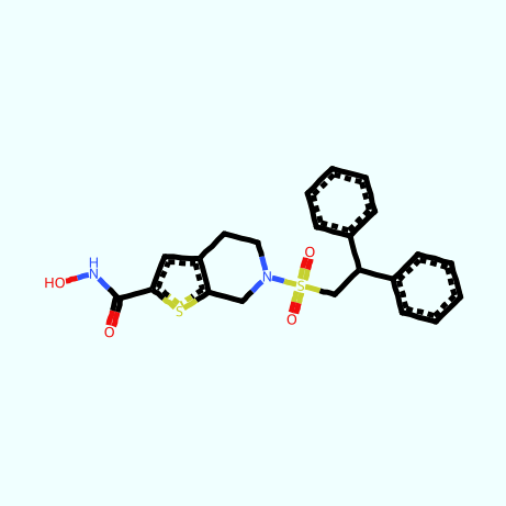 O=C(NO)c1cc2c(s1)CN(S(=O)(=O)CC(c1ccccc1)c1ccccc1)CC2